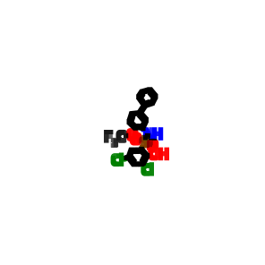 O=S(=O)(Nc1cc(-c2ccccc2)ccc1OC(F)(F)F)c1cc(Cl)cc(Cl)c1O